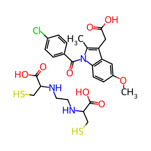 COc1ccc2c(c1)c(CC(=O)O)c(C)n2C(=O)c1ccc(Cl)cc1.O=C(O)C(CS)NCCNC(CS)C(=O)O